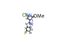 COc1cc(C2Cc3cc(F)ccc3[N]2)cc(Cl)n1